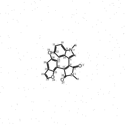 CN1C(=O)C(c2cn(C)c3ccccc23)=C(c2cc(O)cc3ccoc23)C1=O